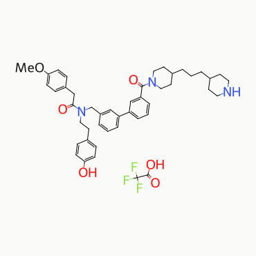 COc1ccc(CC(=O)N(CCc2ccc(O)cc2)Cc2cccc(-c3cccc(C(=O)N4CCC(CCCC5CCNCC5)CC4)c3)c2)cc1.O=C(O)C(F)(F)F